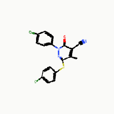 Cc1c(Sc2ccc(Cl)cc2)nn(-c2ccc(Cl)cc2)c(=O)c1C#N